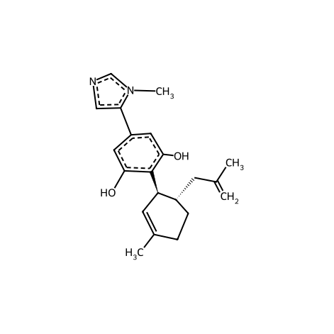 C=C(C)C[C@@H]1CCC(C)=C[C@H]1c1c(O)cc(-c2cncn2C)cc1O